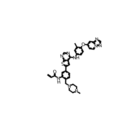 C=CC(=O)Nc1cc(-c2cc3c(Nc4ccc(Oc5ccn6ncnc6c5)c(C)c4)ncnc3s2)ccc1CN1CCN(C)CC1